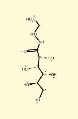 O=C(O)CNNC(=O)[C@H](O)[C@@H](O)[C@H](O)[C@H](O)CO